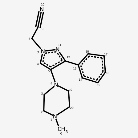 CN1CCN(c2cn(CC#N)nc2-c2ccccc2)CC1